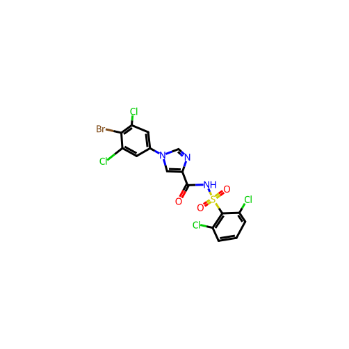 O=C(NS(=O)(=O)c1c(Cl)cccc1Cl)c1cn(-c2cc(Cl)c(Br)c(Cl)c2)cn1